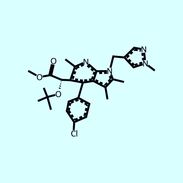 COC(=O)[C@@H](OC(C)(C)C)c1c(C)nc2c(c(C)c(C)n2Cc2cnn(C)c2)c1-c1ccc(Cl)cc1